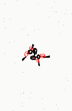 C#CCOc1ccc(C23CC4CC(C2)CC(C2C5CC6CC(C5)CC2(c2ccc(OCC#C)cc2OCC#C)C6)(C4)C3)c(OCC#C)c1